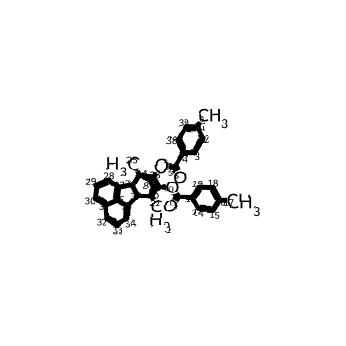 Cc1ccc(C(=O)OC2C(OC(=O)c3ccc(C)cc3)C3(C)CCC2(C)C2c4cccc5cccc(c45)C23)cc1